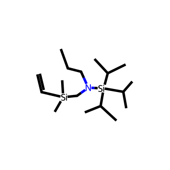 C=C[Si](C)(C)CN(CCC)[Si](C(C)C)(C(C)C)C(C)C